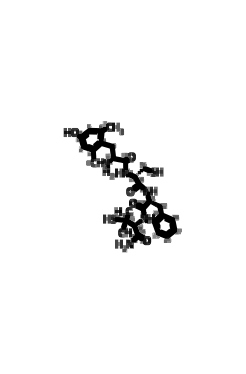 Cc1cc(O)cc(C)c1C[C@H](N)C(=O)N[C@H](CS)C(=O)N[C@@H](Cc1ccccc1)C(=O)N[C@@H](C(N)=O)C(C)(C)S